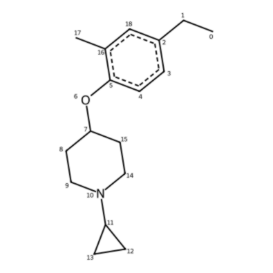 CCc1ccc(OC2CCN(C3CC3)CC2)c(C)c1